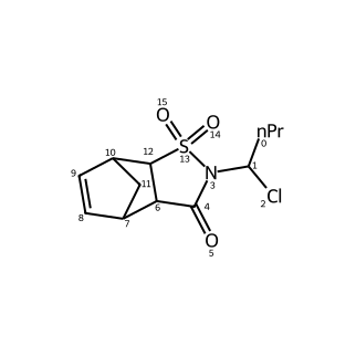 CCCC(Cl)N1C(=O)C2C3C=CC(C3)C2S1(=O)=O